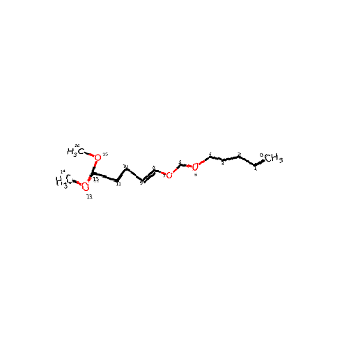 CCCCCOCOC=CCCC(OC)OC